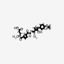 C/C(=N\NC(=O)c1ccc(C(=O)N(C)CCC(=O)O)s1)c1csc(-c2ccc(OC(F)(F)F)cc2)c1O